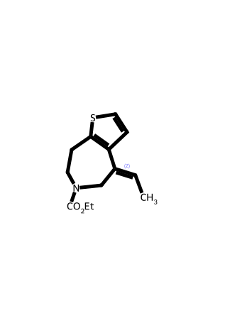 C/C=C1\CN(C(=O)OCC)CCc2sccc21